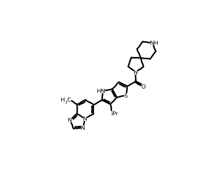 Cc1cc(-c2[nH]c3cc(C(=O)N4CCC5(CCNCC5)C4)sc3c2C(C)C)cn2ncnc12